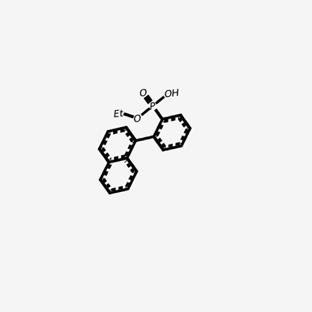 CCOP(=O)(O)c1ccccc1-c1cccc2ccccc12